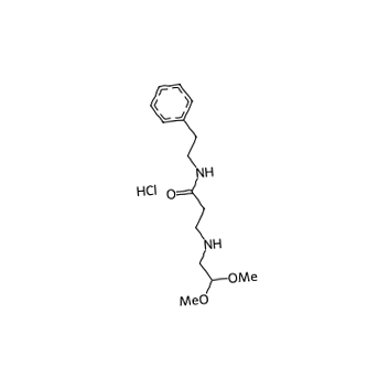 COC(CNCCC(=O)NCCc1ccccc1)OC.Cl